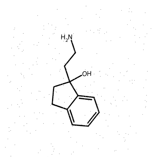 NCCC1(O)CCc2ccccc21